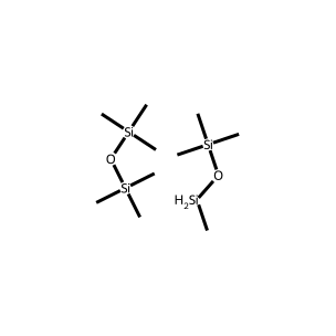 C[SiH2]O[Si](C)(C)C.C[Si](C)(C)O[Si](C)(C)C